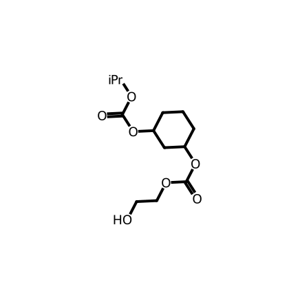 CC(C)OC(=O)OC1CCCC(OC(=O)OCCO)C1